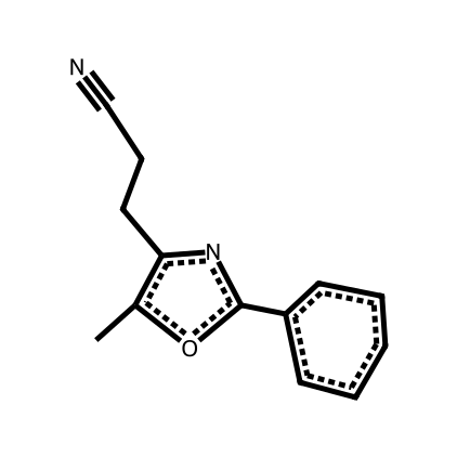 Cc1oc(-c2ccccc2)nc1CCC#N